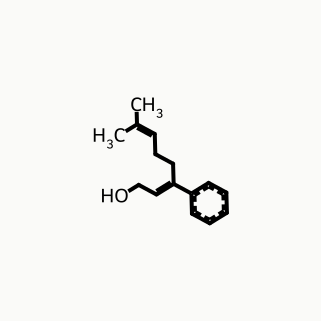 CC(C)=CCCC(=CCO)c1ccccc1